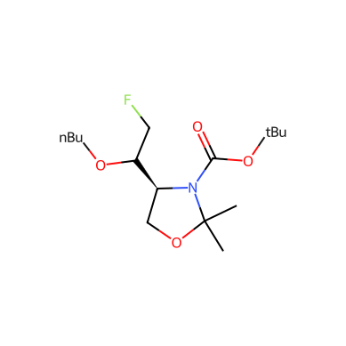 CCCCOC(CF)[C@@H]1COC(C)(C)N1C(=O)OC(C)(C)C